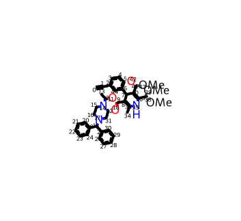 C#Cc1cccc(C2C(C(=O)OC(C)N3CCN(C(c4ccccc4)c4ccccc4)CC3)=C(C)NC(C(OC)OC)=C2C(=O)OC)c1